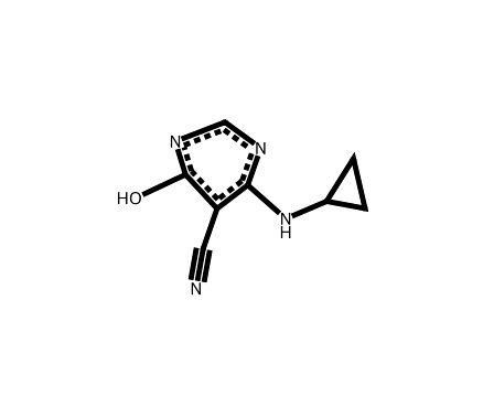 N#Cc1c(O)ncnc1NC1CC1